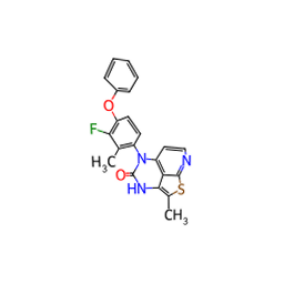 Cc1sc2nccc3c2c1NC(=O)N3c1ccc(Oc2ccccc2)c(F)c1C